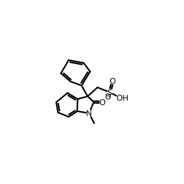 CN1C(=O)C(CS(=O)(=O)O)(c2ccccc2)c2ccccc21